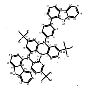 CC(C)(C)c1ccc2c(c1)B1c3ccc(C(C)(C)C)cc3N(c3ccc(-c4cccc5c4oc4ccccc45)cc3)c3cc(C(C)(C)C)cc(c31)N2c1cccc2oc3ccccc3c12